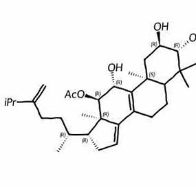 C=C(CC[C@@H](C)[C@H]1CC=C2C3=C([C@@H](O)[C@H](OC(C)=O)[C@@]21C)[C@@]1(C)C[C@@H](O)[C@H](O)C(C)(C)C1CC3)C(C)C